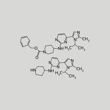 Cc1ncc(-c2ccnc(NC3CCN(C(=O)OCc4ccccc4)CC3)n2)n1C(C)C.Cc1ncc(-c2ccnc(NC3CCNCC3)n2)n1C(C)C